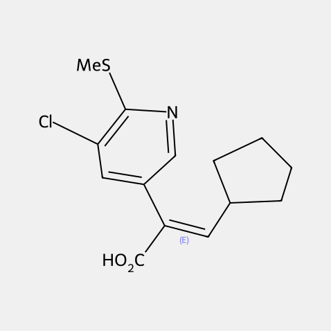 CSc1ncc(/C(=C\C2CCCC2)C(=O)O)cc1Cl